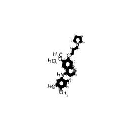 COc1cc2c(Nc3cc(O)c(C)cc3F)ccnc2cc1OCCCN1CCCC1.Cl